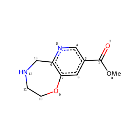 COC(=O)c1cnc2c(c1)OCCNC2